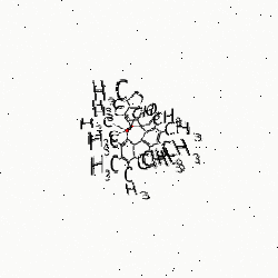 Cc1c(C)c(C)c2c(c1C)-c1c(C)c(C)c(C)c(C)c1C1(C=COc3c1ccc1c3CCC1(C)C)c1c(C)c(C)c(C)c(C)c1-2